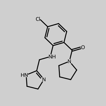 O=C(c1ccc(Cl)cc1NCC1=NCCN1)N1CCCC1